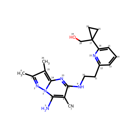 Cc1nn2c(N)c(C#N)c(NCCc3cccc(C4(CO)CC4)n3)nc2c1C